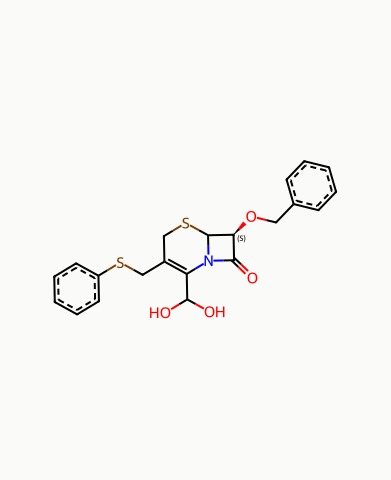 O=C1[C@H](OCc2ccccc2)C2SCC(CSc3ccccc3)=C(C(O)O)N12